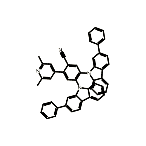 Cc1cc(-c2cc(-n3c4ccccc4c4ccc(-c5ccccc5)cc43)c(-n3c4ccccc4c4ccc(-c5ccccc5)cc43)cc2C#N)cc(C)n1